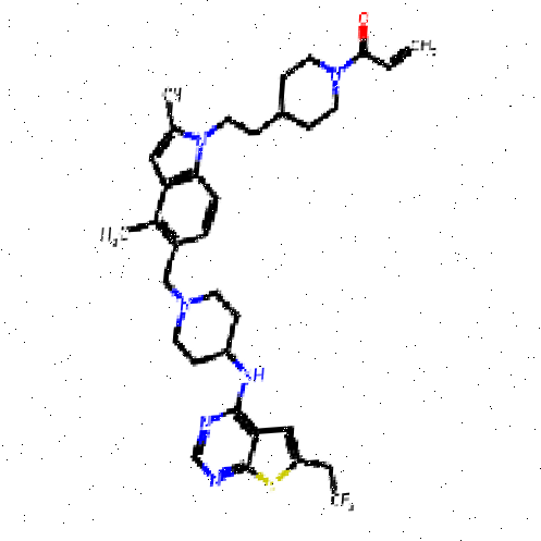 C=CC(=O)N1CCC(CCn2c(C#N)cc3c(C)c(CN4CCC(Nc5ncnc6sc(CC(F)(F)F)cc56)CC4)ccc32)CC1